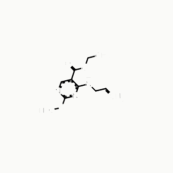 C=CCNc1nc(SC)ncc1C(=O)OCC